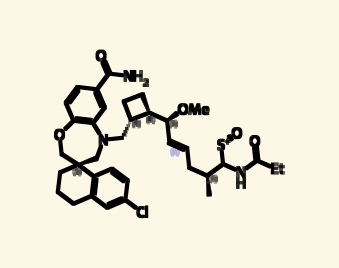 CCC(=O)NC([S+]=O)[C@@H](C)C/C=C/[C@H](OC)[C@@H]1CC[C@H]1CN1C[C@@]2(CCCc3cc(Cl)ccc32)COc2ccc(C(N)=O)cc21